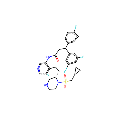 O=C(CC(c1ccc(F)cc1)c1cc(F)cc(F)c1)Nc1cncc(F)c1CC[C@H]1CNCCN1S(=O)(=O)CC1CC1